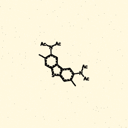 CC(=O)N(C(C)=O)c1cc2c(cc1C)sc1cc(C)c(N(C(C)=O)C(C)=O)cc12